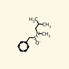 CC(C)CN(C)[S+]([O-])Cc1ccccc1